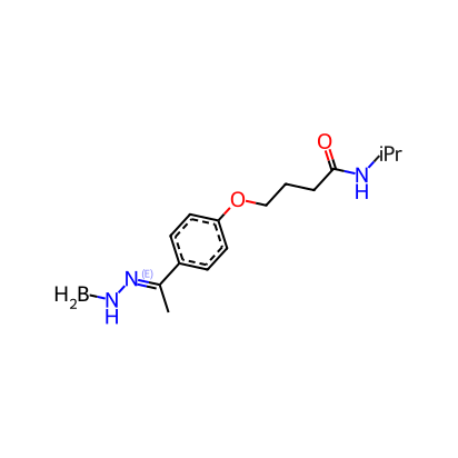 BN/N=C(\C)c1ccc(OCCCC(=O)NC(C)C)cc1